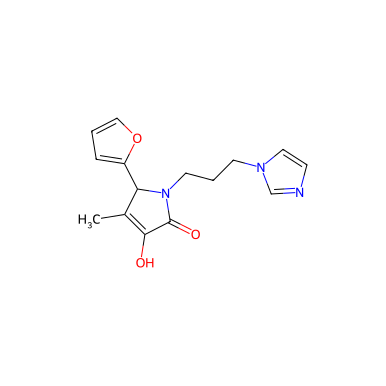 CC1=C(O)C(=O)N(CCCn2ccnc2)C1c1ccco1